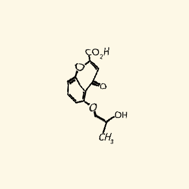 CC(O)COc1cccc2oc(C(=O)O)cc(=O)c12